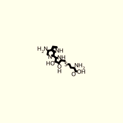 NC(CCSCC1NC(C2=NCC(N)c3cc[nH]c32)C(O)C1O)C(=O)O